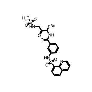 CCCCC(NC(=O)c1cccc(NS(=O)(=O)c2cccc3cccnc23)c1)C(=O)CNS(C)(=O)=O